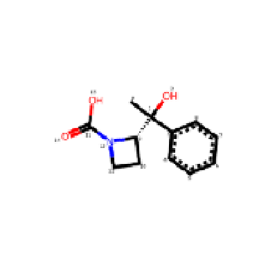 CC(O)(c1ccccc1)[C@@H]1CCN1C(=O)O